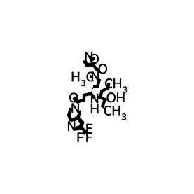 CCCC(N[C@@H](CCCN(C)C(=O)c1ccno1)CCC(=O)N1CCc2ncc(C(F)(F)F)cc2C1)C(O)CC